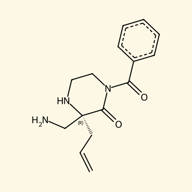 C=CC[C@]1(CN)NCCN(C(=O)c2ccccc2)C1=O